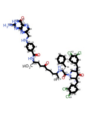 CCCC(CCCC(=O)CC[C@@H](NC(=O)c1ccc(NCc2cnc3c(=O)[nH]c(N)nc3n2)cc1)C(=O)O)N[C@H](Cc1ccccc1)C(=O)N1C/C(=C\c2ccc(Cl)c(Cl)c2)C(=O)/C(=C/c2ccc(Cl)c(Cl)c2)C1